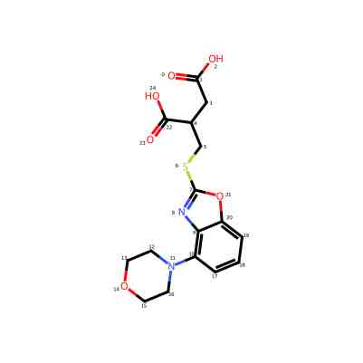 O=C(O)CC(CSc1nc2c(N3CCOCC3)cccc2o1)C(=O)O